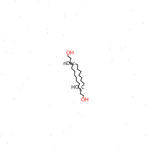 CCCCCCCCCCCCCCCCCC(=O)O.OCCCCCCCCCCCCCCO